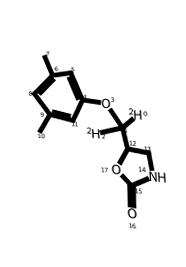 [2H]C([2H])(Oc1cc(C)cc(C)c1)C1CNC(=O)O1